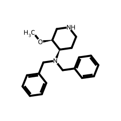 CO[C@H]1CNCC[C@H]1N(Cc1ccccc1)Cc1ccccc1